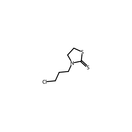 S=C1SCCN1CCCCl